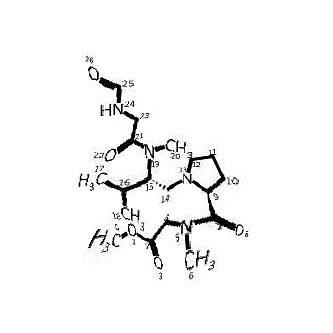 COC(=O)CN(C)C(=O)[C@@H]1CCCN1C[C@H](C(C)C)N(C)C(=O)CNC=O